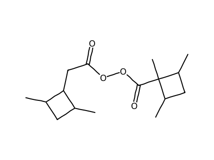 CC1CC(C)C1CC(=O)OOC(=O)C1(C)C(C)CC1C